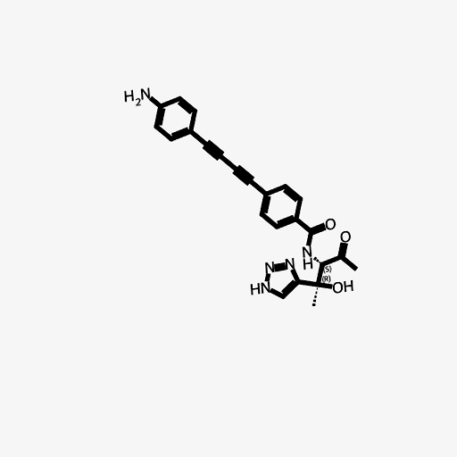 CC(=O)[C@@H](NC(=O)c1ccc(C#CC#Cc2ccc(N)cc2)cc1)[C@@](C)(O)c1c[nH]nn1